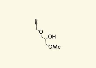 C#CCOCC(O)COC